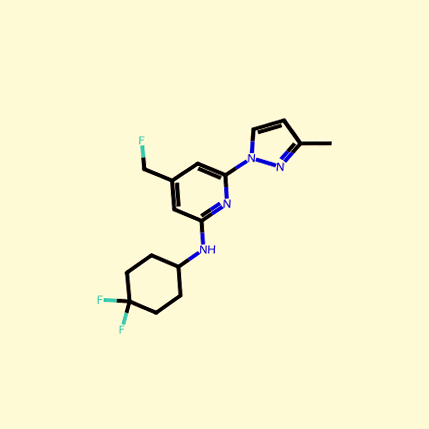 Cc1ccn(-c2cc(CF)cc(NC3CCC(F)(F)CC3)n2)n1